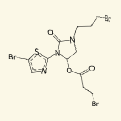 O=C(CCBr)OC1CN(CCCBr)C(=O)N1c1ncc(Br)s1